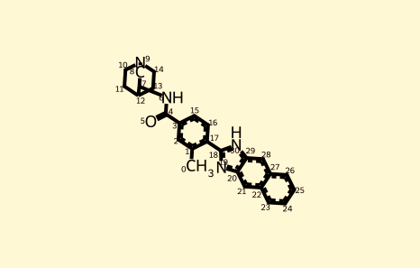 Cc1cc(C(=O)NC2CN3CCC2CC3)ccc1-c1nc2cc3ccccc3cc2[nH]1